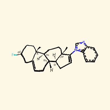 C[C@]12CC[C@H](F)CC1=CC[C@@H]1[C@@H]2CC[C@]2(C)C(n3cnc4ccccc43)=CC[C@@H]12